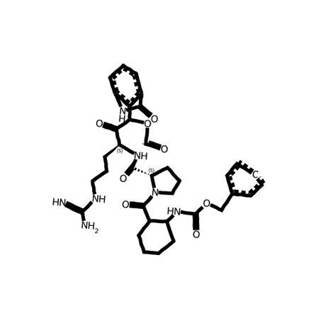 N=C(N)NCCC[C@H](NC(=O)[C@@H]1CCCN1C(=O)C1CCCCC1NC(=O)OCc1ccccc1)C(=O)C(O[C]=O)c1c2cccc1C(=O)N2